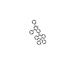 c1ccc(-c2cc(-c3ccccc3)c3cc(N4c5ccccc5C(c5ccccc5)(c5ccccc5)c5ccccc54)ccc3n2)cc1